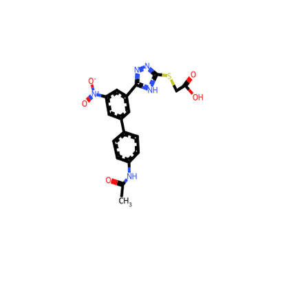 CC(=O)Nc1ccc(-c2cc(-c3nnc(SCC(=O)O)[nH]3)cc([N+](=O)[O-])c2)cc1